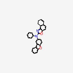 C1=Cc2ccc3oc(N(c4ccccc4)c4ccc5oc6ccccc6c5c4)nc3c2CC1